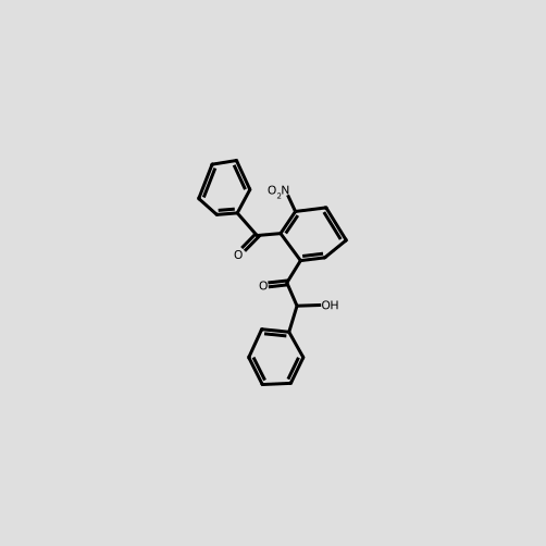 O=C(c1ccccc1)c1c(C(=O)C(O)c2ccccc2)cccc1[N+](=O)[O-]